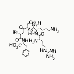 CC(C)C(CC(=O)C(CC(=O)O)[AsH]C(=O)[C@H](CCCCN)NC(=O)[C@@H](N)CCCNC(=N)N)C(=O)N[C@@H](Cc1ccccc1)C(=O)O